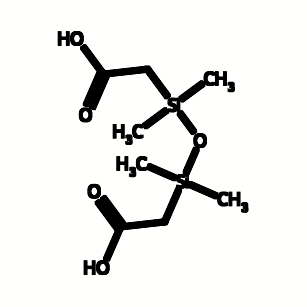 C[Si](C)(CC(=O)O)O[Si](C)(C)CC(=O)O